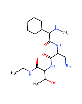 CCNC(=O)C(NC(=O)C(CN)NC(=O)C(NC)C1CCCCC1)C(C)O